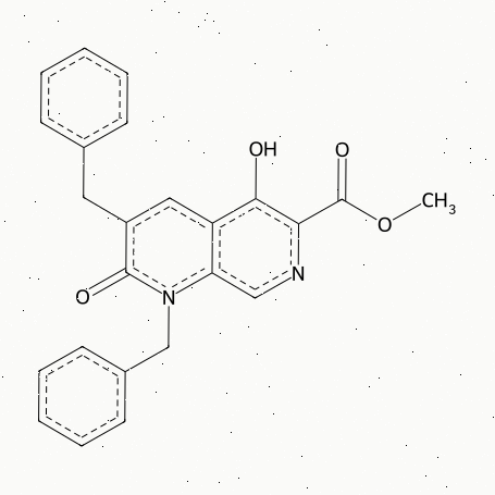 COC(=O)c1ncc2c(cc(Cc3ccccc3)c(=O)n2Cc2ccccc2)c1O